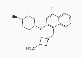 Cc1cc(OC2CCC(C(C)(C)C)CC2)c(CN2CC(C(=O)O)C2)c2ccccc12